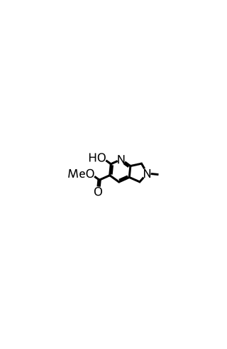 COC(=O)c1cc2c(nc1O)CN(C)C2